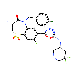 N[C@H]1CS(=O)(=O)c2cc(F)c(-c3nnc(NC4CNCC(F)(F)C4)o3)cc2N(Cc2ccc(Cl)cc2)C1=O